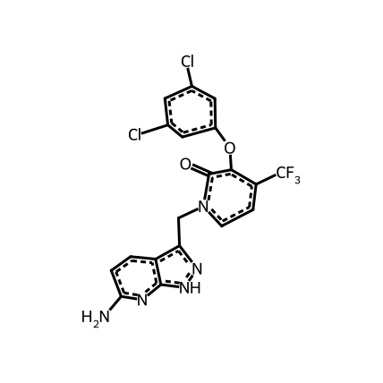 Nc1ccc2c(Cn3ccc(C(F)(F)F)c(Oc4cc(Cl)cc(Cl)c4)c3=O)n[nH]c2n1